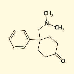 CN(C)CC1(c2ccccc2)CCC(=O)CC1